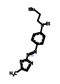 CCN(CCC(C)(C)C)c1ccc(/N=N/c2ncc(C)s2)cc1